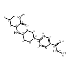 COC(=O)C(CC(C)C)NC1CCN(c2ncc(C(=O)NO)cn2)CC1